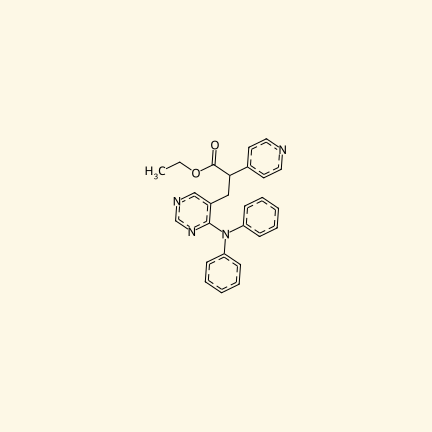 CCOC(=O)C(Cc1cncnc1N(c1ccccc1)c1ccccc1)c1ccncc1